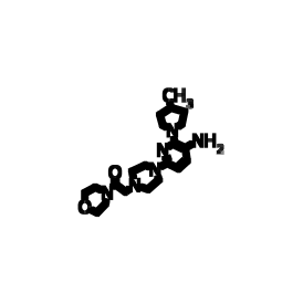 CC1CCN(c2nc(N3CCN(CC(=O)N4CCOCC4)CC3)ccc2N)CC1